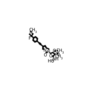 CN1CC(F)(c2ccc(C#Cc3cc4n(c3)C(=O)N(CCC(C)(C(=O)NO)S(C)(=O)=O)C4)cc2)C1